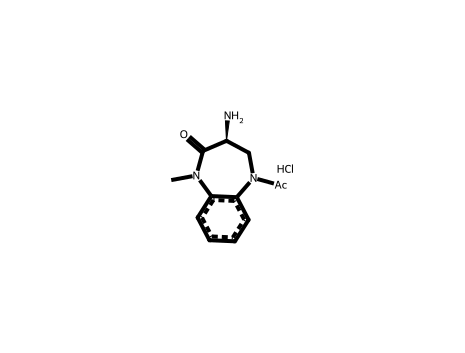 CC(=O)N1C[C@H](N)C(=O)N(C)c2ccccc21.Cl